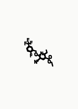 CCOC(=O)c1cc(C#N)c(OCc2cc(C(F)(F)F)ccc2F)nc1CC